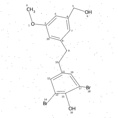 COc1cc(CO)cc(CCc2cc(Br)c(O)c(Br)c2)c1